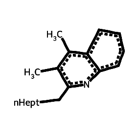 CCCCCCCCc1nc2ccccc2c(C)c1C